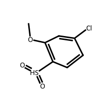 COc1cc(Cl)ccc1[SH](=O)=O